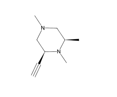 C#C[C@H]1CN(C)C[C@@H](C)N1C